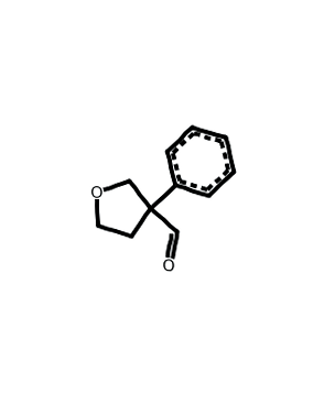 O=CC1(c2ccccc2)CCOC1